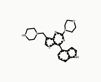 c1cc(-c2nc(N3CCOCC3)nc3c(CN4CCNCC4)csc23)c2cc[nH]c2c1